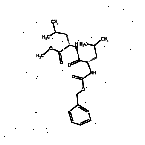 COC(=O)[C@H](CC(C)C)NC(=O)[C@H](CC(C)C)NC(=O)OCc1ccccc1